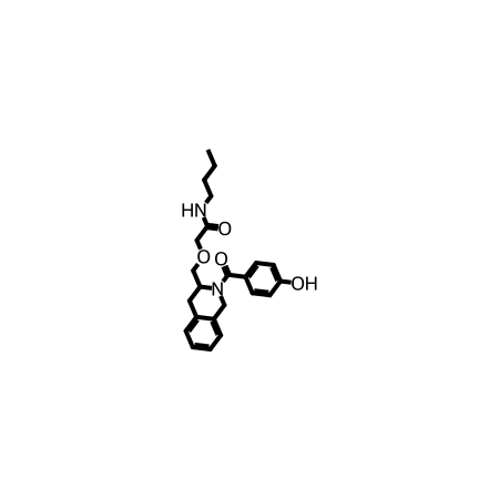 CCCCNC(=O)COCC1Cc2ccccc2CN1C(=O)c1ccc(O)cc1